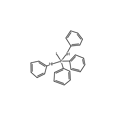 IP([IH]c1ccccc1)([IH]c1ccccc1)(c1ccccc1)c1ccccc1